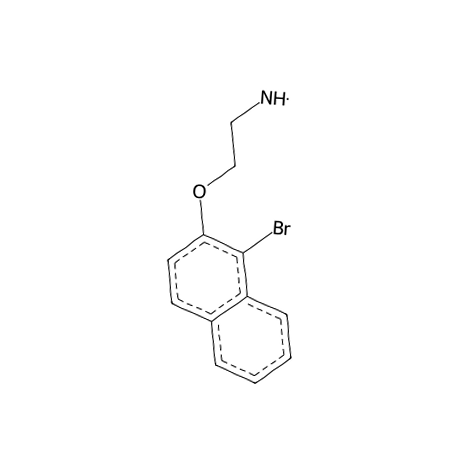 [NH]CCOc1ccc2ccccc2c1Br